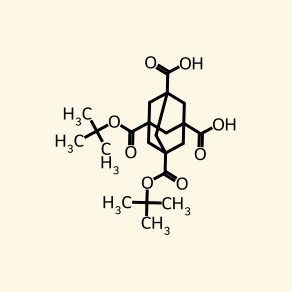 CC(C)(C)OC(=O)C12CC3(C(=O)O)CC(C(=O)O)(C1)CC(C(=O)OC(C)(C)C)(C3)C2